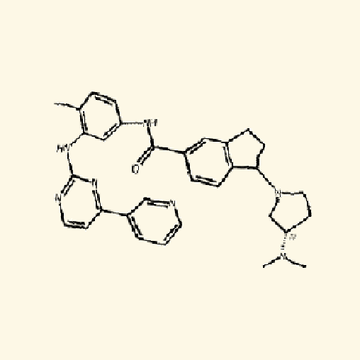 Cc1ccc(NC(=O)c2ccc3c(c2)CCC3N2CC[C@H](N(C)C)C2)cc1Nc1nccc(-c2cccnc2)n1